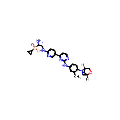 Cc1cc(Nc2nccc(-c3ccc(NCC(N)S(=O)(=O)C4CC4)nc3)n2)ccc1N1C[C@@H]2C[C@H]1CO2